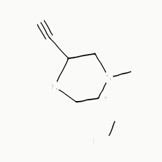 C#CC1CN(I)[C@H](CC)CN1